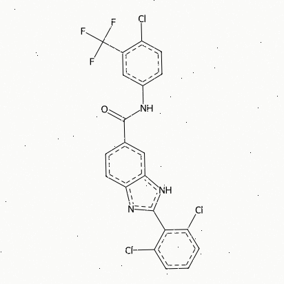 O=C(Nc1ccc(Cl)c(C(F)(F)F)c1)c1ccc2nc(-c3c(Cl)cccc3Cl)[nH]c2c1